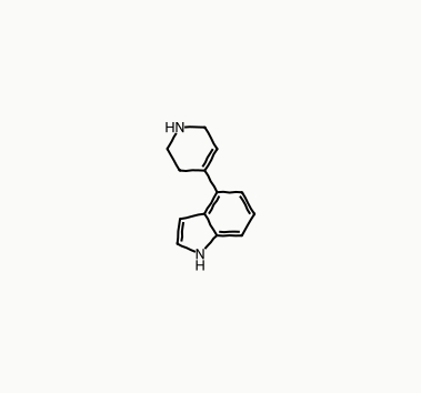 C1=C(c2cccc3[nH]ccc23)CCNC1